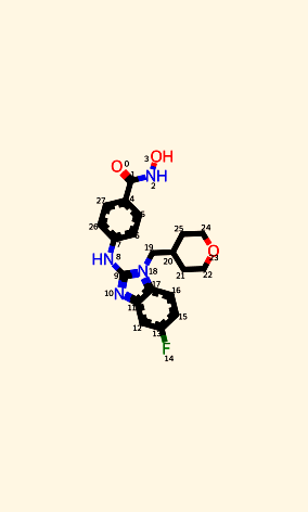 O=C(NO)c1ccc(Nc2nc3cc(F)ccc3n2CC2CCOCC2)cc1